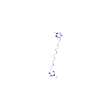 Cc1cn(CCCCCCCCCCn2cc(C)nn2)nn1